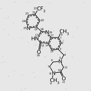 Cc1cc(CN2CCN(C)C(=O)C2)cc2c(=O)[nH]c(-c3cc(C(F)(F)F)ccn3)nc12